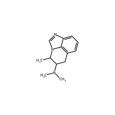 CC1C(N(C)C)Cc2cccc3ncn1c23